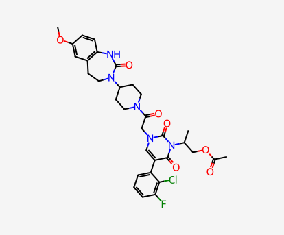 COc1ccc2c(c1)CCN(C1CCN(C(=O)Cn3cc(-c4cccc(F)c4Cl)c(=O)n(C(C)COC(C)=O)c3=O)CC1)C(=O)N2